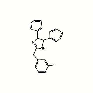 Cc1cccc(CC2=NC(c3ccccc3)C(c3ccccc3)N2)c1